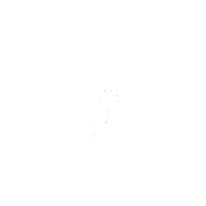 CNC(=O)c1coc(S(=O)(=O)O)c1